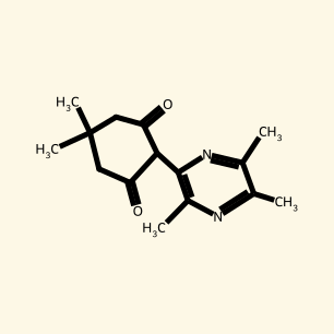 Cc1nc(C)c(C2C(=O)CC(C)(C)CC2=O)nc1C